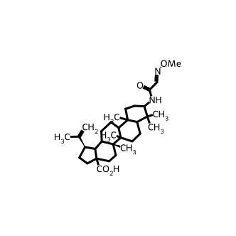 C=C(C)[C@@H]1CCC2(C(=O)O)CC[C@]3(C)C(CCC4C5(C)CCC(NC(=O)/C=N/OC)C(C)(C)C5CCC43C)C12